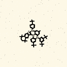 Cc1cc2c3c(c1)N(c1ccc(C(C)(C)C)cc1)c1sc4cc5c(cc4c1B3c1ccc(C(C)(C)C)cc1N2c1cc(C(C)(C)C)cc(C(C)(C)C)c1)C(C)(C)CCC5(C)C